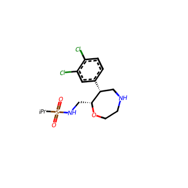 CC(C)S(=O)(=O)NC[C@H]1OCCNC[C@H]1c1ccc(Cl)c(Cl)c1